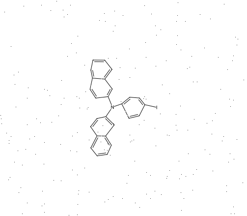 Ic1ccc(N(c2ccc3ccccc3c2)c2ccc3ccccc3c2)cc1